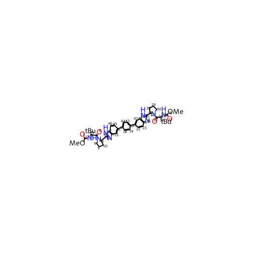 COC(=O)NC(C(=O)N1CCCC1c1nc2cc(-c3ccc(-c4ccc5nc(C6CCCN6C(=O)C(NC(=O)OC)C(C)(C)C)[nH]c5c4)cc3)ccc2[nH]1)C(C)(C)C